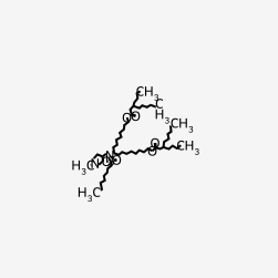 CCCCCCCCS(=O)(=O)N(CC1CCN(C)CC1)C(CCCCCCCCOC(=O)CC(CCCC)CCCCCC)CCCCCCCCOC(=O)CC(CCCC)CCCCCC